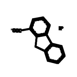 O=C([O-])c1cccc2c1Cc1ccccc1-2.[K+]